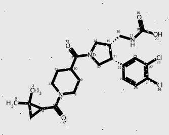 CC1(C)CC1C(=O)N1CCC(C(=O)N2C[C@H](CNC(=O)O)[C@H](c3ccc(Cl)c(Cl)c3)C2)CC1